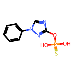 OP(O)(=S)Oc1ncn(-c2ccccc2)n1